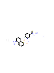 CN(C)c1cccc2c(S(=O)(=O)Nc3cc(-c4csc(N)n4)ccc3F)cccc12